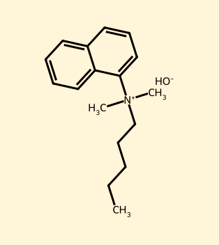 CCCCC[N+](C)(C)c1cccc2ccccc12.[OH-]